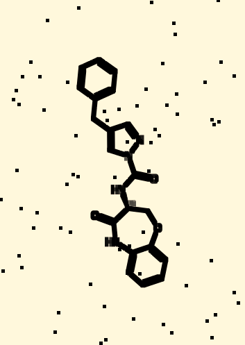 O=C1Nc2ccccc2OC[C@@H]1NC(=O)n1cc(Cc2ccccc2)cn1